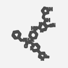 Cn1cc(-c2ccc([N+](C(=O)NCc3ccccc3)=C3CCC(Nc4ncc(C#N)c(NCC5CCNC5)n4)CC3)nc2)cn1